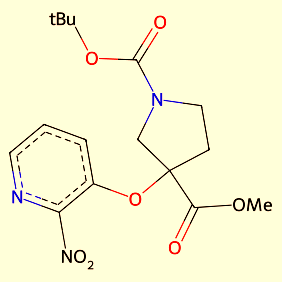 COC(=O)C1(Oc2cccnc2[N+](=O)[O-])CCN(C(=O)OC(C)(C)C)C1